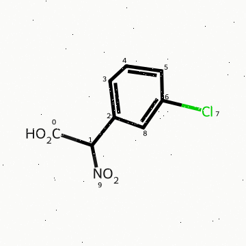 O=C(O)C(c1cccc(Cl)c1)[N+](=O)[O-]